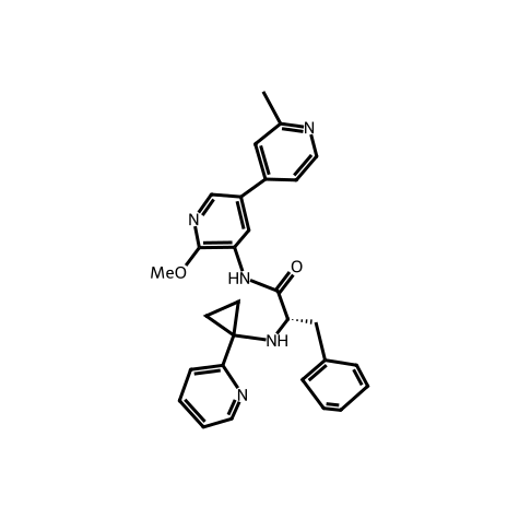 COc1ncc(-c2ccnc(C)c2)cc1NC(=O)[C@H](Cc1ccccc1)NC1(c2ccccn2)CC1